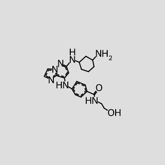 NC1CCCC(Nc2cc(Nc3ccc(C(=O)NCCO)cc3)c3nccn3n2)C1